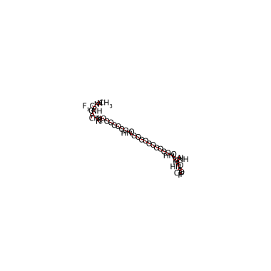 Cc1ccc(C(=O)Nc2ccc(CN3CCN(C)CC3)c(C(F)(F)F)c2)cc1C#Cc1cnc2cc(OCCOCCOCCOCCOCCOCCOCCNC(=O)CCOCCOCCOCCOCCOCCOCCOCCOCCOCCOCCNC(=O)C3CCN(c4ncc(C(=O)Nc5ccc(OC(F)(F)Cl)cc5)cc4-c4ccn[nH]4)CC3)ccn12